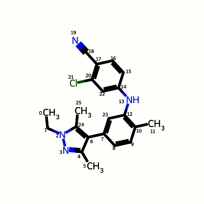 CCn1nc(C)c(-c2ccc(C)c(Nc3ccc(C#N)c(Cl)c3)c2)c1C